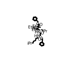 CC[Si](CC)(CC)OCC(C)(C(=O)OCc1ccccc1)C(=O)[C@H](CC(C)C)NC(=O)[C@H](COCc1ccccc1)NC(=O)CCCCC(C)C